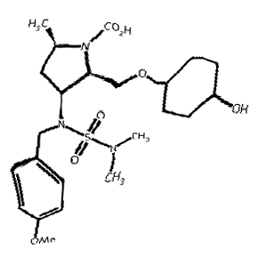 COc1ccc(CN([C@H]2C[C@@H](C)N(C(=O)O)[C@H]2COC2CCC(O)CC2)S(=O)(=O)N(C)C)cc1